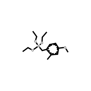 CCO[Si](Cc1ccc(OC)cc1C)(OCC)OCC